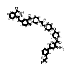 Nc1cc(-c2cccc(CC(F)(F)F)c2)cnc1C(=O)N1CCC(OC2CCN(CC(=O)N3CCN(C(=O)c4cc(Cc5n[nH]c(=O)c6ccccc56)ccc4F)CC3)CC2)CC1